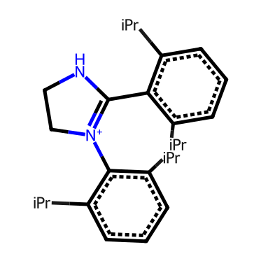 CC(C)c1cccc(C(C)C)c1C1=[N+](c2c(C(C)C)cccc2C(C)C)CCN1